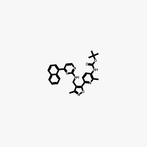 Cc1nc(-c2onc(C)c2CNc2nccc(-c3cccc4ccccc34)n2)ccc1NC(=O)OC(C)(C)C